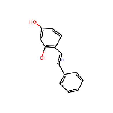 Oc1ccc(/C=C/c2ccccc2)c(O)c1